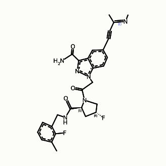 C/N=C(\C)C#Cc1ccc2c(c1)c(C(N)=O)nn2CC(=O)N1C[C@H](F)C[C@H]1C(=O)NCc1cccc(C)c1F